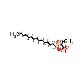 CCC=CCC=CCC=CCC=CCCS(=O)(=O)C(CC)C(=O)O